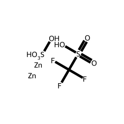 O=S(=O)(O)C(F)(F)F.O=S(=O)(O)O.[Zn].[Zn]